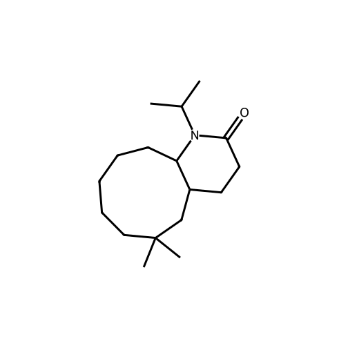 CC(C)N1C(=O)CCC2CC(C)(C)CCCCCC21